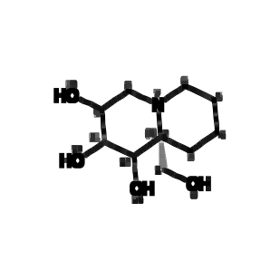 OC[C@@]12CCCCN1CC(O)C(O)C2O